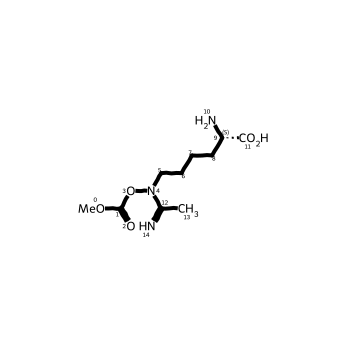 COC(=O)ON(CCCC[C@H](N)C(=O)O)C(C)=N